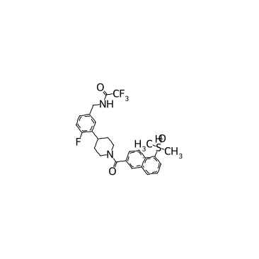 C[SH](C)(=O)c1cccc2cc(C(=O)N3CCC(c4cc(CNC(=O)C(F)(F)F)ccc4F)CC3)ccc12